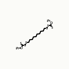 CC(C)OC(=S)SSCCCCCCCCCCSSC(=S)OC(C)C